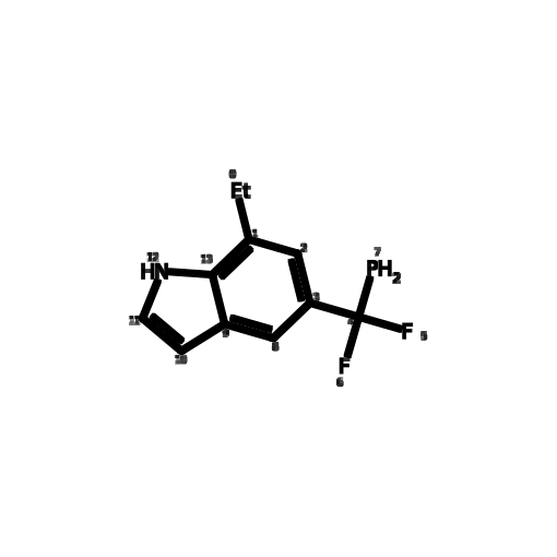 CCc1cc(C(F)(F)P)cc2cc[nH]c12